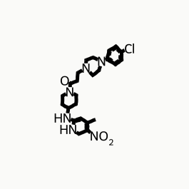 CC1=C([N+](=O)[O-])CNC(NC2CCN(C(=O)CCN3CCN(c4ccc(Cl)cc4)CC3)CC2)=C1